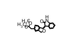 COC(Cc1ccc2c(c1)CO/C2=C1/C(=O)Nc2ccccc21)OC